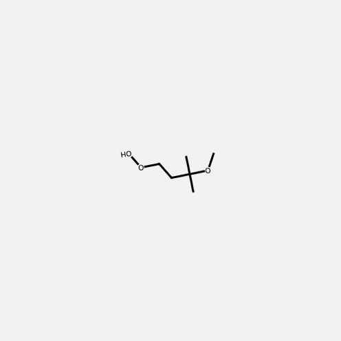 COC(C)(C)CCOO